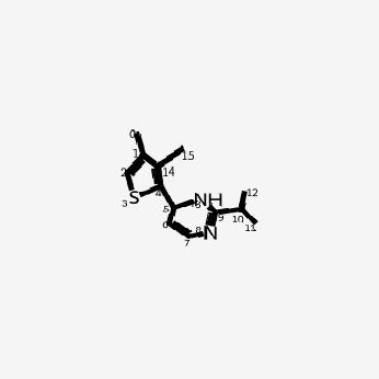 Cc1csc(C2C=CN=C(C(C)C)N2)c1C